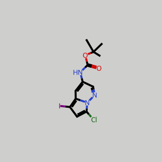 CC(C)(C)OC(=O)Nc1cnn2c(Cl)cc(I)c2c1